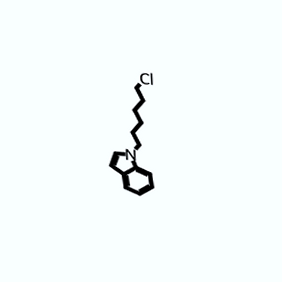 ClCCCCCCn1ccc2ccccc21